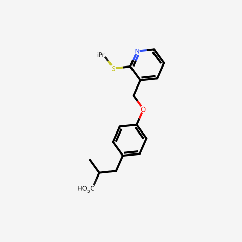 CC(C)Sc1ncccc1COc1ccc(CC(C)C(=O)O)cc1